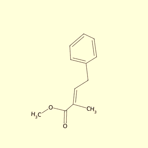 COC(=O)/C(C)=C/Cc1ccccc1